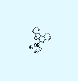 CC(C)OB(OC(C)C)c1cc2ccccc2c2c1oc1ccccc12